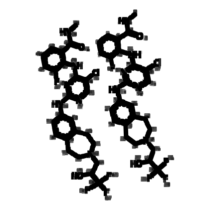 CNC(=O)c1cccc(F)c1Nc1nc(Nc2ccc3c(c2)CCN(CC(O)C(F)(F)F)CC3)ncc1Cl.CNC(=O)c1cccc(F)c1Nc1nc(Nc2ccc3c(c2)CCN(CC(O)C(F)(F)F)CC3)ncc1Cl